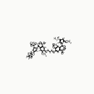 COC(=O)[C@@H]1CC(OS(=O)(=O)C(F)(F)F)=CN1C(=O)c1cc(C)c(OCCCOc2cc([N+](=O)[O-])c(C(=O)N3C=C(C)C[C@H]3C)cc2OC)cc1[N+](=O)[O-]